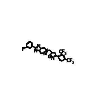 Fc1cccc(-c2nc3cnn(Cc4cc(-c5ccc(C(F)(F)F)cc5C(F)(F)F)no4)cc-3n2)c1